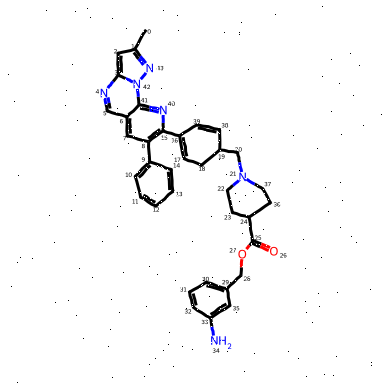 Cc1cc2ncc3cc(-c4ccccc4)c(C4=CCC(CN5CCC(C(=O)OCc6cccc(N)c6)CC5)C=C4)nc3n2n1